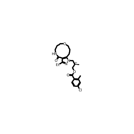 CCc1nn(C[C@@H](C)COC(=O)c2ccc(Cl)cc2C)c2c1C(=O)NCCCOCCC2